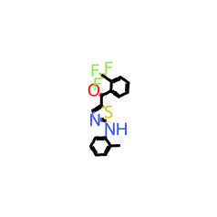 Cc1ccccc1Nc1ncc(C(=O)c2ccccc2C(F)(F)F)s1